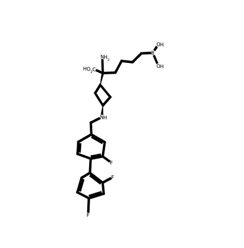 NC(CCCCB(O)O)(C(=O)O)[C@H]1C[C@@H](NCc2ccc(-c3ccc(F)cc3F)c(F)c2)C1